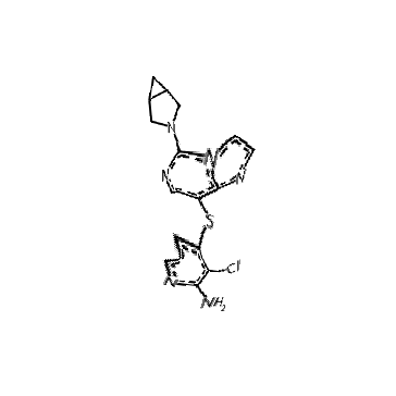 Nc1nccc(Sc2cnc(N3CC4CC4C3)n3ccnc23)c1Cl